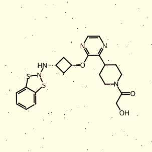 O=C(CO)N1CCC(c2nccnc2O[C@H]2C[C@H](NN3Sc4ccccc4S3)C2)CC1